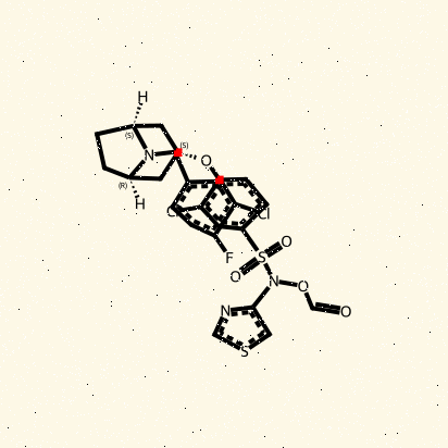 O=CON(c1cscn1)S(=O)(=O)c1ccc(O[C@@H]2C[C@H]3CC[C@@H](C2)N3Cc2ccc(F)c(Cl)c2)c(Cl)c1